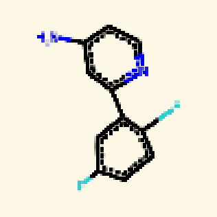 Nc1ccnc(-c2cc(F)ccc2F)c1